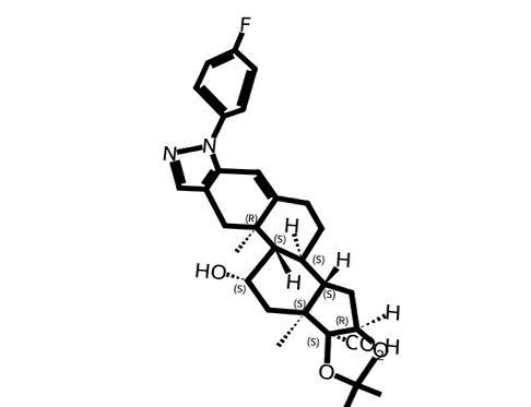 CC1(C)O[C@@H]2C[C@H]3[C@@H]4CCC5=Cc6c(cnn6-c6ccc(F)cc6)C[C@]5(C)[C@H]4[C@@H](O)C[C@]3(C)[C@]2(C(=O)O)O1